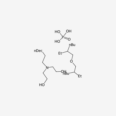 CCCCC(CC)COCC(CC)CCCC.CCCCCCCCCCCCN(CCO)CCO.O=P(O)(O)O